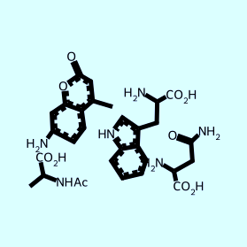 CC(=O)NC(C)C(=O)O.Cc1cc(=O)oc2cc(N)ccc12.NC(=O)CC(N)C(=O)O.NC(Cc1c[nH]c2ccccc12)C(=O)O